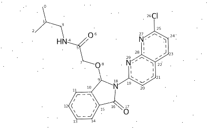 CC(C)CNC(=O)COC1c2ccccc2C(=O)N1c1ccc2ccc(Cl)nc2n1